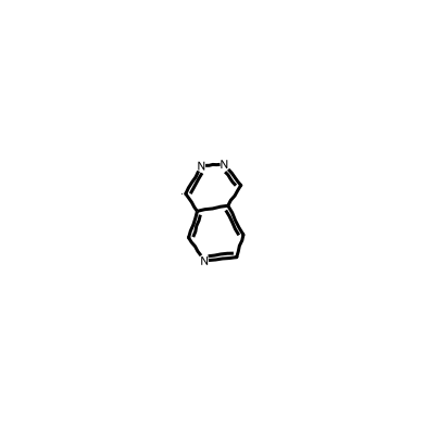 [c]1nncc2ccncc12